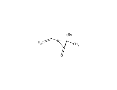 C=CN1C(=O)C1(C)CCCC